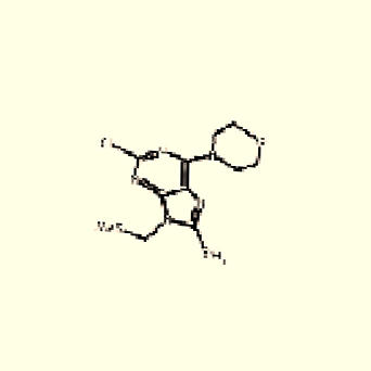 CSCn1c(C)nc2c(N3CCOCC3)nc(Cl)nc21